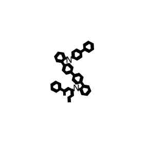 C=C/C=C(\C=C(/C)c1ccccc1)n1c2ccccc2c2ccc(-c3ccc4c5ccccc5n(-c5ccc(-c6ccccc6)cc5)c4c3)cc21